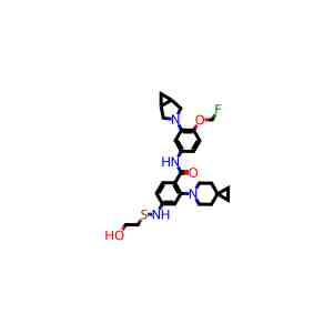 O=C(Nc1ccc(OCF)c(N2CC3CC3C2)c1)c1ccc(NSCCO)cc1N1CCC2(CC1)CC2